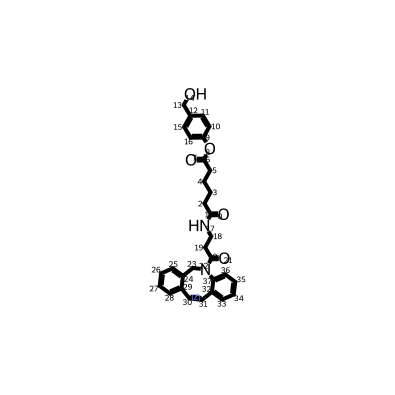 O=C(CCCCC(=O)Oc1ccc(CO)cc1)NCCC(=O)N1Cc2ccccc2/C=C\c2ccccc21